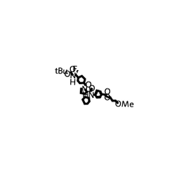 COCCCOC(=O)c1ccc(NC(=O)[C@H]2[C@H](C3CCCCC3)CCN2C(=O)C2CCC([C@@H](CF)NC(=O)OC(C)(C)C)CC2)cc1